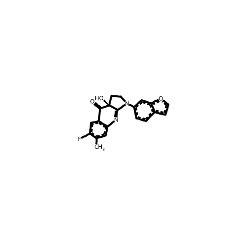 Cc1cc2c(cc1F)C(=O)[C@]1(O)CCN(c3ccc4ccoc4c3)C1=N2